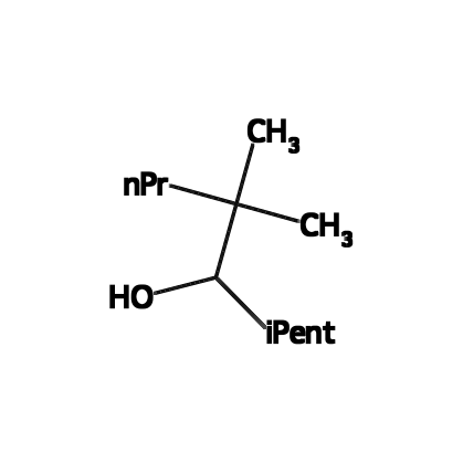 CCCC(C)C(O)C(C)(C)CCC